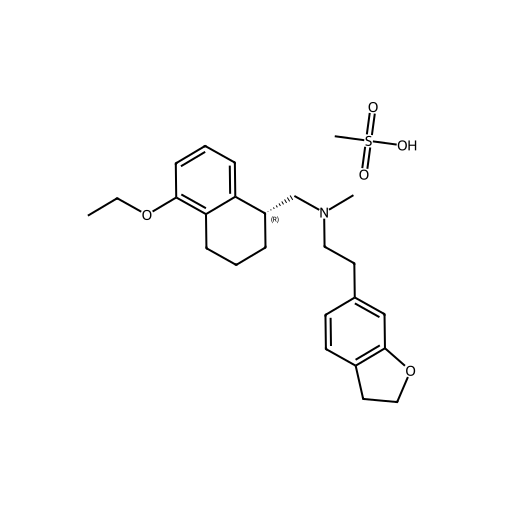 CCOc1cccc2c1CCC[C@H]2CN(C)CCc1ccc2c(c1)OCC2.CS(=O)(=O)O